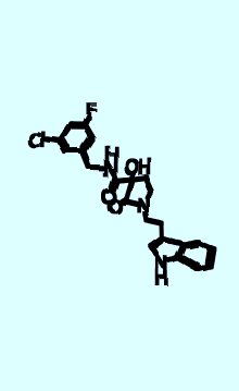 O=C(NCc1cc(F)cc(Cl)c1)C1(O)CCN(CCc2c[nH]c3ccccc23)C1=O